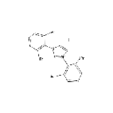 CC(C)c1cccc(C(C)C)c1-n1cc[n+](-c2c(C(C)C)cccc2C(C)C)c1.[I-]